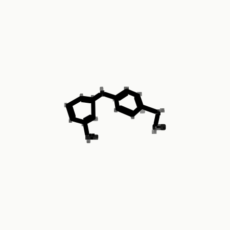 CSc1cccc(Sc2ccc(SC=O)cc2)c1